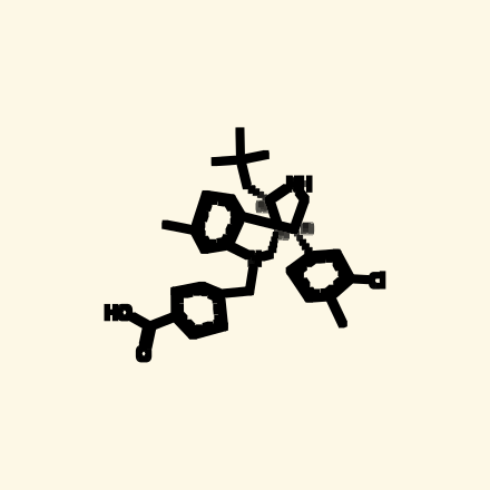 Cc1ccc2c(c1)N(Cc1ccc(C(=O)O)cc1)C[C@@]21[C@H](CC(C)(C)C)NC[C@@H]1c1ccc(C)c(Cl)c1